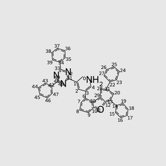 C/C(=C\C(=C/N)c1cccc2oc3c(-c4ccccc4)cc(-c4ccccc4)cc3c12)c1nc(-c2ccccc2)nc(-c2ccccc2)n1